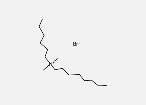 CCCCCCCC[N+](C)(C)CCCCCC.[Br-]